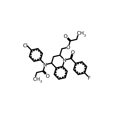 CCC(=O)OCC1CC(N(C(=O)CC)c2ccc(Cl)cc2)c2ccccc2N1C(=O)c1ccc(F)cc1